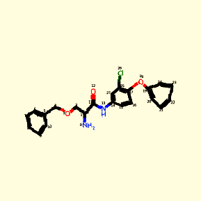 NC(COCc1ccccc1)C(=O)Nc1ccc(Oc2ccccc2)c(Cl)c1